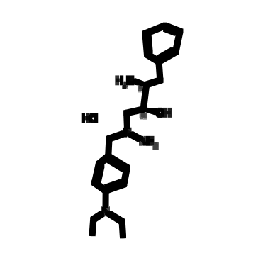 CCN(CC)c1ccc(CN(N)C[C@H](O)[C@@H](N)Cc2ccccc2)cc1.Cl